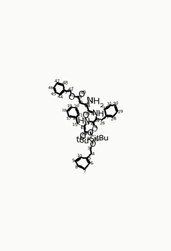 CC(C)(C)[Si](OCCc1ccccc1)(OC(=O)[C@H](Cc1ccccc1)NC(=O)[C@H](Cc1ccccc1)NC(=O)[C@@H](N)CC(=O)OCc1ccccc1)C(C)(C)C